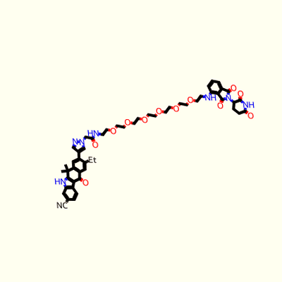 CCc1cc2c(cc1-c1cnn(CC(=O)NCCOCCOCCOCCOCCOCCOCCNc3cccc4c3C(=O)N(C3CCC(=O)NC3=O)C4=O)c1)C(C)(C)c1[nH]c3cc(C#N)ccc3c1C2=O